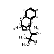 CCC(C)(C)C(=O)N1C[C@@H]2C[C@H]1c1ccccc1O2